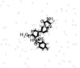 COc1ncc(-c2ccc3ncc(N)c(=O)n3c2)cc1NS(=O)(=O)c1ccc(F)cc1F